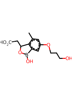 Cc1cc(OCCCO)cc2c1C(CC(=O)O)OB2O